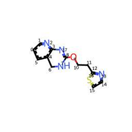 c1cnc2c(c1)CNC(OCCc1nccs1)=N2